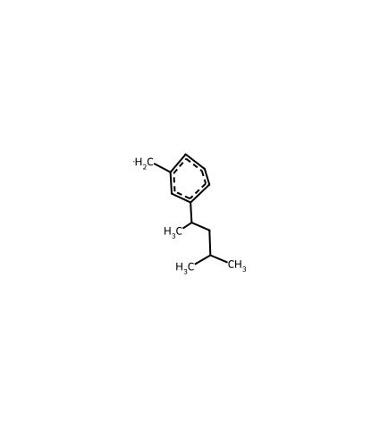 [CH2]c1cccc(C(C)CC(C)C)c1